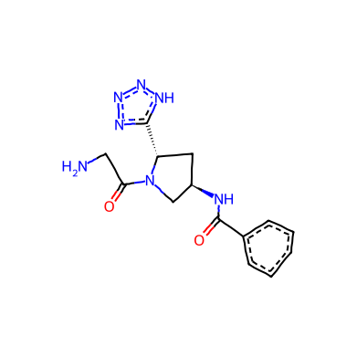 NCC(=O)N1C[C@H](NC(=O)c2ccccc2)C[C@H]1c1nnn[nH]1